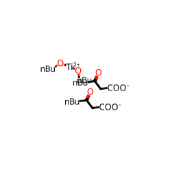 CCCCC(=O)CC(=O)[O-].CCCCC(=O)CC(=O)[O-].CCCC[O][Ti+2][O]CCCC